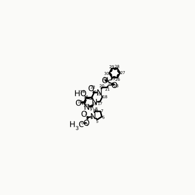 COC(=O)N1CCC[C@H]1c1nc(=O)c(O)c2n1CCN(CCS(=O)(=O)c1ccccc1)C2=O